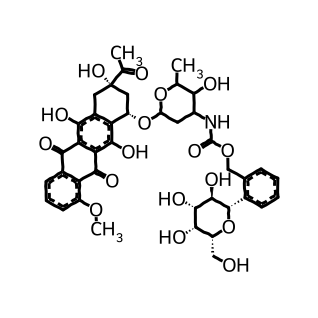 COc1cccc2c1C(=O)c1c(O)c3c(c(O)c1C2=O)C[C@@](O)(C(C)=O)C[C@@H]3OC1CC(NC(=O)OCc2ccccc2[C@@H]2O[C@H](CO)[C@H](O)[C@H](O)[C@H]2O)C(O)C(C)O1